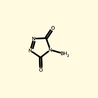 BN1C(=O)N=NC1=O